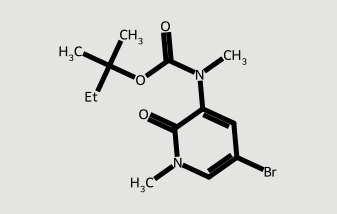 CCC(C)(C)OC(=O)N(C)c1cc(Br)cn(C)c1=O